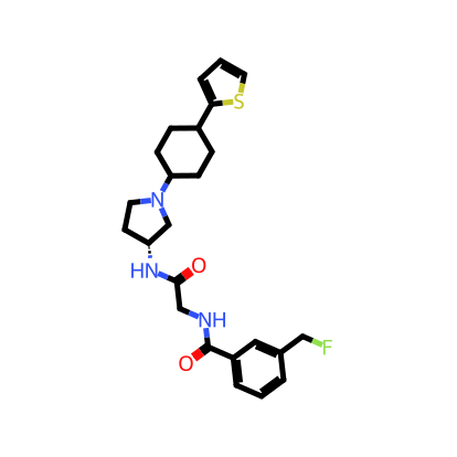 O=C(CNC(=O)c1cccc(CF)c1)N[C@@H]1CCN(C2CCC(c3cccs3)CC2)C1